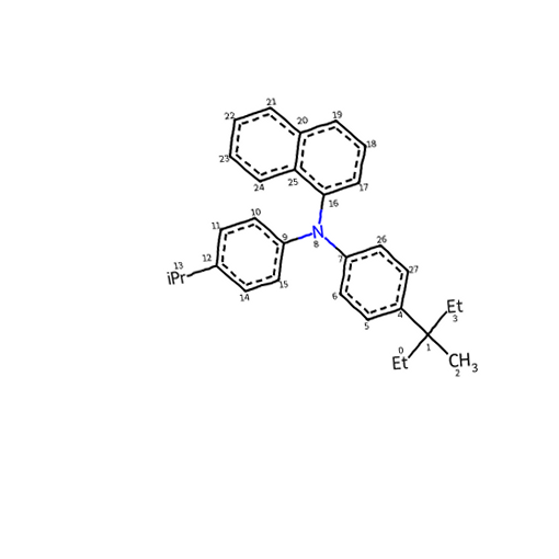 CCC(C)(CC)c1ccc(N(c2ccc(C(C)C)cc2)c2cccc3ccccc23)cc1